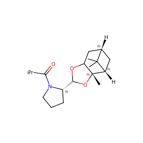 CC(C)C(=O)N1CCC[C@H]1C1OC2C[C@@H]3C[C@@H](C3(C)C)[C@]2(C)O1